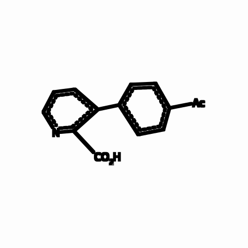 CC(=O)c1ccc(-c2cccnc2C(=O)O)cc1